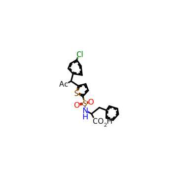 CC(=O)C(c1ccc(Cl)cc1)c1ccc(S(=O)(=O)NC(Cc2ccccc2)C(=O)O)s1